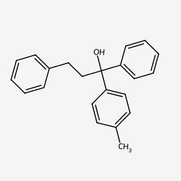 Cc1ccc(C(O)(CCc2ccccc2)c2ccccc2)cc1